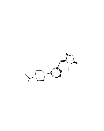 CC(C)N1CCN(c2nccc(/C=C3/C(=O)NC(=O)N3C)n2)CC1